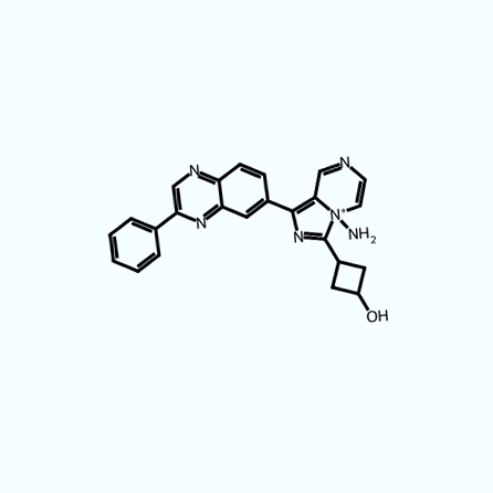 N[N+]12C=CN=CC1=C(c1ccc3ncc(-c4ccccc4)nc3c1)N=C2C1CC(O)C1